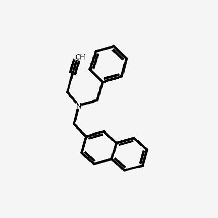 C#CCN(Cc1ccccc1)Cc1ccc2ccccc2c1